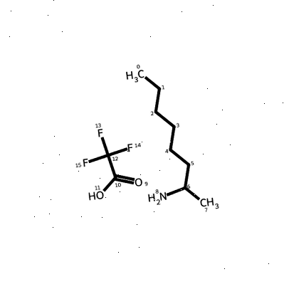 CCCCCCC(C)N.O=C(O)C(F)(F)F